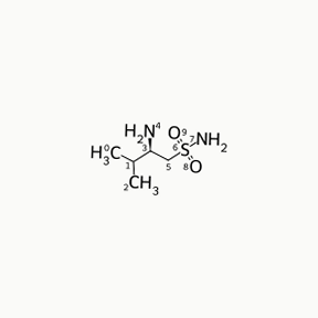 CC(C)[C@@H](N)CS(N)(=O)=O